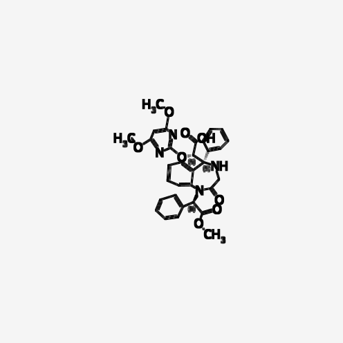 COC(=O)[C@@H](c1ccccc1)N1C(=O)CN[C@](c2ccccc2)([C@H](Oc2nc(OC)cc(OC)n2)C(=O)O)c2ccccc21